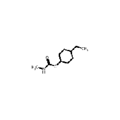 CCC1CCC(OC(=O)NC)CC1